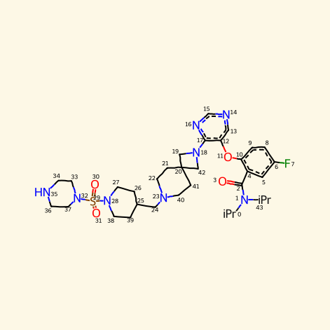 CC(C)N(C(=O)c1cc(F)ccc1Oc1cncnc1N1CC2(CCN(CC3CCN(S(=O)(=O)N4CCNCC4)CC3)CC2)C1)C(C)C